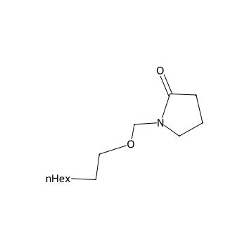 CCCCCCCCOCN1CCCC1=O